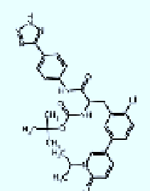 CC(C)n1cc(-c2ccc(Cl)c(CC(NC(=O)OC(C)(C)C)C(=O)Nc3ccc(-c4nn[nH]n4)cc3)c2)ccc1=O